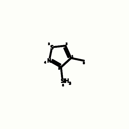 Cc1csnc1[SiH3]